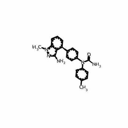 Cc1ccc(N(C(N)=O)c2ccc(-c3cccc4c3c(N)nn4C)cc2)cc1